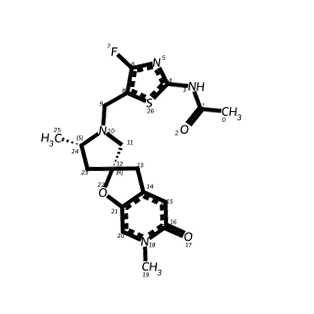 CC(=O)Nc1nc(F)c(CN2C[C@@]3(Cc4cc(=O)n(C)cc4O3)C[C@@H]2C)s1